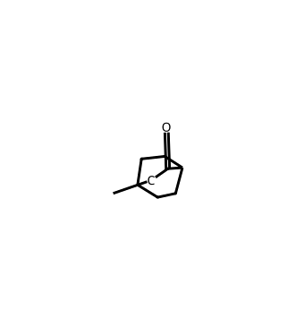 CC12CCC(CC1)C(=O)C2